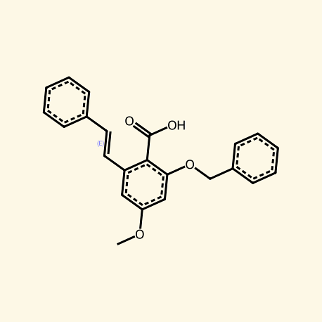 COc1cc(/C=C/c2ccccc2)c(C(=O)O)c(OCc2ccccc2)c1